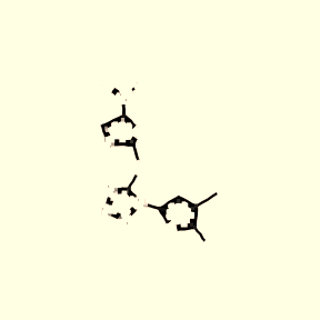 Cc1cc(-n2nnnc2Sc2ncc([N+](=O)[O-])s2)sc1C